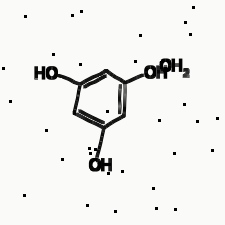 O.Oc1cc(O)cc(O)c1